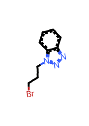 BrCCCn1nnc2ccccc21